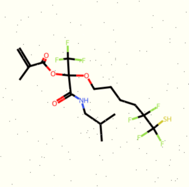 C=C(C)C(=O)OC(OCCCCC(F)(F)C(F)(F)S)(C(=O)NCC(C)C)C(F)(F)F